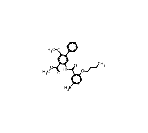 Bc1ccc(OCCCC)c(C(=O)Nc2cc(-c3ccccc3)c(OC)cc2C(=O)OC)c1